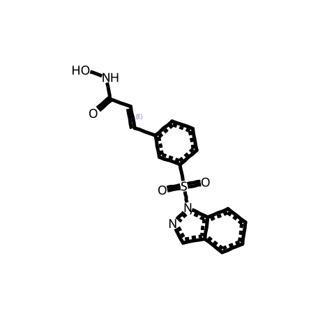 O=C(/C=C/c1cccc(S(=O)(=O)n2ncc3ccccc32)c1)NO